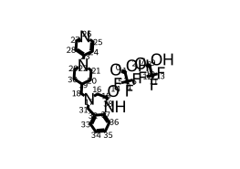 O=C(O)C(F)(F)F.O=C(O)C(F)(F)F.O=C1CN(CC2CCN(c3ccncc3)CC2)Cc2ccccc2N1